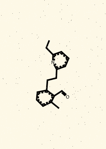 CCc1cccc(CCc2cccc(C)c2C=O)n1